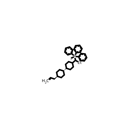 C=CC[C@H]1CC[C@H](C2CCC(C(CC)P(I)(c3ccccc3)(c3ccccc3)c3ccccc3)CC2)CC1